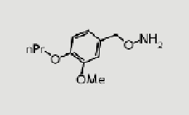 CCCOc1ccc(CON)cc1OC